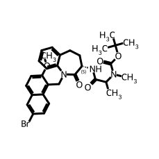 COc1ccc2cc(Br)ccc2c1CN1C(=O)[C@@H](NC(=O)C(C)N(C)C(=O)OC(C)(C)C)CCc2ccccc21